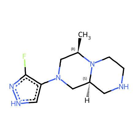 C[C@@H]1CN(c2c[nH]nc2F)C[C@@H]2CNCCN21